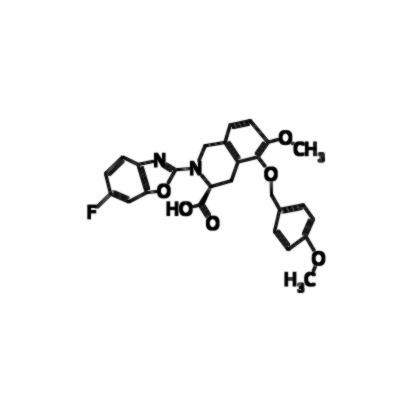 COc1ccc(COc2c(OC)ccc3c2C[C@@H](C(=O)O)N(c2nc4ccc(F)cc4o2)C3)cc1